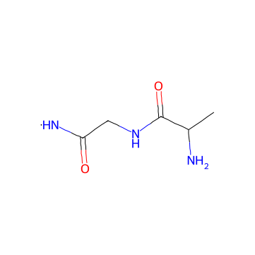 CC(N)C(=O)NCC([NH])=O